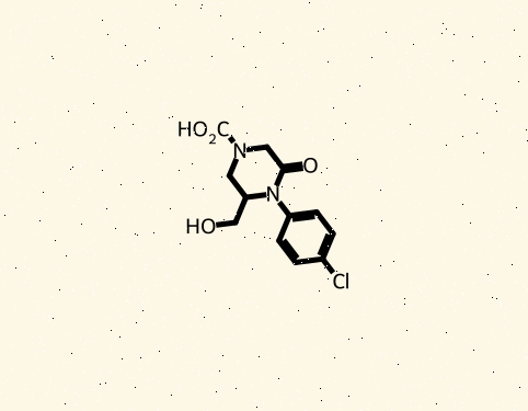 O=C(O)N1CC(=O)N(c2ccc(Cl)cc2)C(CO)C1